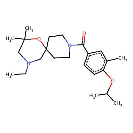 CCN1CC(C)(C)OC2(CCN(C(=O)c3ccc(OC(C)C)c(C)c3)CC2)C1